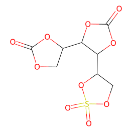 O=C1OCC(C2OC(=O)OC2C2COS(=O)(=O)O2)O1